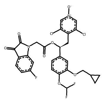 O=C(CN1C(=O)C(=O)c2ccc(F)cc21)O[C@@H](Cc1c(Cl)c[n+]([O-])cc1Cl)c1ccc(OC(F)F)c(OCC2CC2)c1